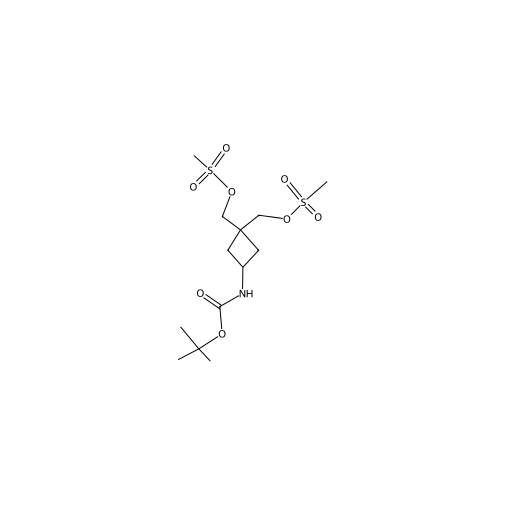 CC(C)(C)OC(=O)NC1CC(COS(C)(=O)=O)(COS(C)(=O)=O)C1